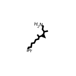 CC(C)CCCCCCC(C)C1CC1C(C)CCN